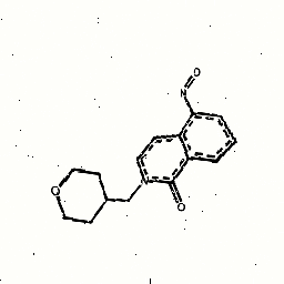 O=Nc1cccc2c(=O)n(CC3CCOCC3)ccc12